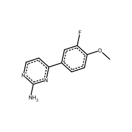 COc1ccc(-c2ccnc(N)n2)cc1F